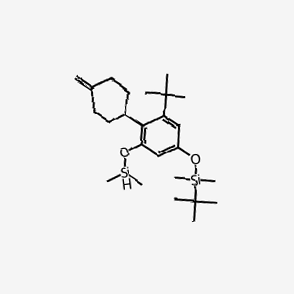 C=C1CCC(c2c(O[SiH](C)C)cc(O[Si](C)(C)C(C)(C)C)cc2C(C)(C)C)CC1